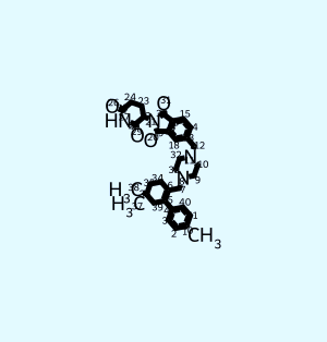 Cc1ccc(C2=C(CN3CCN(Cc4ccc5c(c4)C(=O)N(C4CCC(=O)NC4=O)C5=O)CC3)CCC(C)(C)C2)cc1